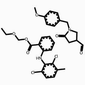 CCOCOC(=O)c1ccccc1Nc1c(Cl)ccc(C)c1Cl.COc1ccc(CN2CC(C=O)CC2=O)cc1